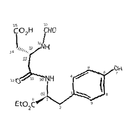 CCOC(=O)[C@H](Cc1ccc(O)cc1)NC(=O)[C@H](CC(=O)O)NC=O